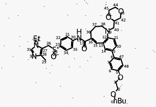 CCCCOCCOc1ccc(-c2ccc3c(c2)/C=C(/C(=O)Nc2ccc([S+]([O-])Cc4c(C)ncn4CC)cc2)CCCN3CC2COCCO2)cc1